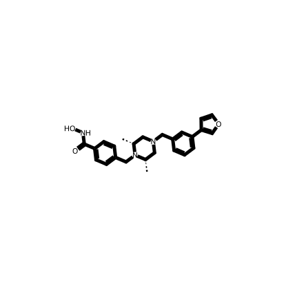 C[C@@H]1CN(Cc2cccc(-c3ccoc3)c2)C[C@H](C)N1Cc1ccc(C(=O)NO)cc1